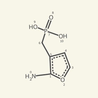 Nc1occc1CP(=O)(O)O